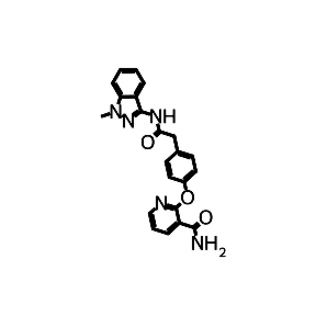 Cn1nc(NC(=O)Cc2ccc(Oc3ncccc3C(N)=O)cc2)c2ccccc21